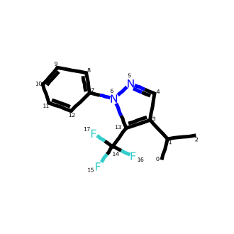 CC(C)c1cnn(-c2ccccc2)c1C(F)(F)F